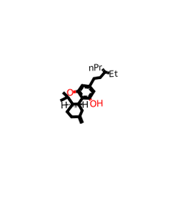 C=C1CC[C@@H]2[C@@H](C1)c1c(O)cc(CCC(CC)CCC)cc1OC2(C)C